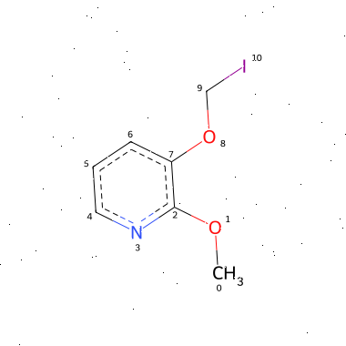 COc1ncccc1OCI